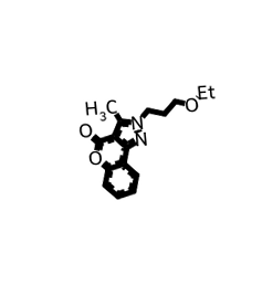 CCOCCCn1nc2c(c1C)c(=O)oc1ccccc12